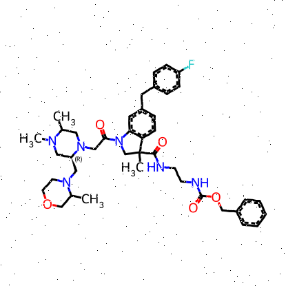 CC1CN(CC(=O)N2CC(C)(C(=O)NCCNC(=O)OCc3ccccc3)c3ccc(Cc4ccc(F)cc4)cc32)[C@@H](CN2CCOCC2C)CN1C